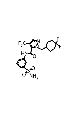 NS(=O)(=O)c1cccc(NC(=O)c2c(C(F)(F)F)cnn2CC2CCC(F)(F)CC2)c1